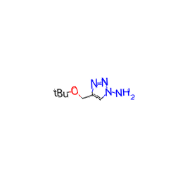 CC(C)(C)OCc1cn(N)nn1